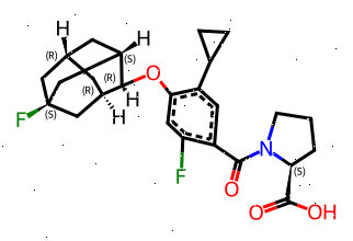 O=C(O)[C@@H]1CCCN1C(=O)c1cc(C2CC2)c(O[C@H]2[C@@H]3C[C@H]4C[C@H]2C[C@@](F)(C4)C3)cc1F